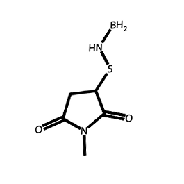 BNSC1CC(=O)N(C)C1=O